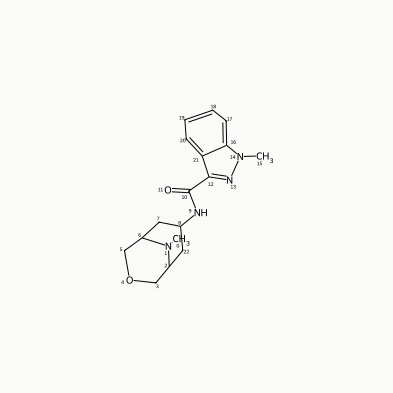 CN1C2COCC1CC(NC(=O)c1nn(C)c3ccccc13)C2